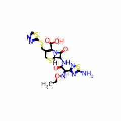 CCO/N=C(\C(=O)NC1C(=O)N2C(C(=O)O)=C(CSc3nncs3)CS[C@H]12)c1nsc(N)n1